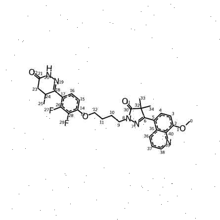 COc1ccc(C2=NN(CCCCOc3ccc(C4=NNC(=O)CC4C)c(F)c3F)C(=O)C2(C)C)c2cccnc12